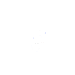 CCCc1cc(Nc2nc(Cl)ncc2Br)n[nH]1